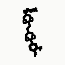 CCCCCC1COC(CCC2COC(c3ccc(F)c(F)c3)OC2)OC1